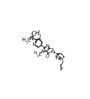 CN(C)c1ccc(-c2nc3c(n2C)C(=O)N(c2ccn(CCF)n2)C3)cn1